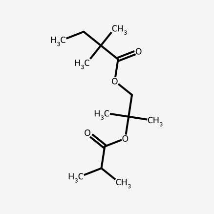 CCC(C)(C)C(=O)OCC(C)(C)OC(=O)C(C)C